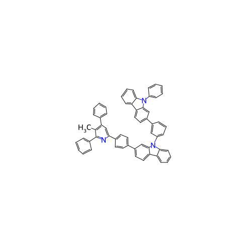 Cc1c(-c2ccccc2)cc(-c2ccc(-c3ccc4c5ccccc5n(-c5cccc(-c6ccc7c8ccccc8n(-c8ccccc8)c7c6)c5)c4c3)cc2)nc1-c1ccccc1